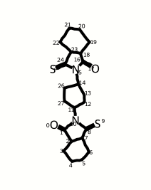 O=C1C2CCCCC2C(=S)N1C1CCC(N2C(=O)C3CCCCC3C2=S)CC1